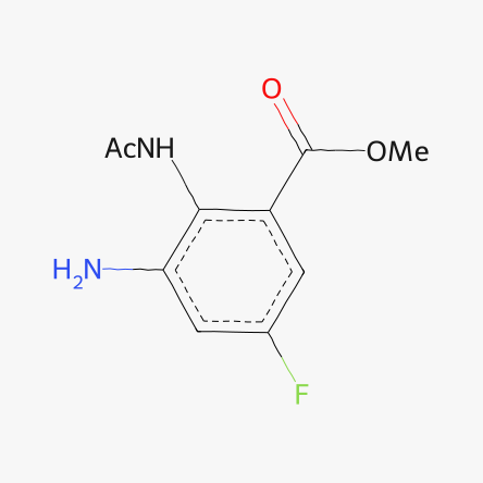 COC(=O)c1cc(F)cc(N)c1NC(C)=O